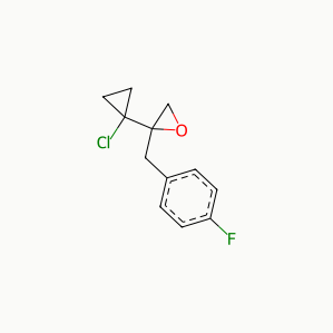 Fc1ccc(CC2(C3(Cl)CC3)CO2)cc1